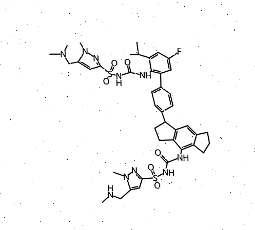 CNCc1cc(S(=O)(=O)NC(=O)Nc2c3c(cc4c2CCC4c2ccc(-c4cc(F)cc(C(C)C)c4NC(=O)NS(=O)(=O)c4cc(CN(C)C)n(C)n4)cc2)CCC3)nn1C